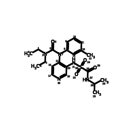 CCN(CC)C(=O)N(c1cccc(C)c1)c1ccncc1NS(=O)(=O)C(=O)NC(C)C